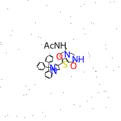 CC(=O)NC[C@@H]1COc2c(-c3cnn(C(c4ccccc4)(c4ccccc4)c4ccccc4)c3)sc3c2N1CCNC3=O